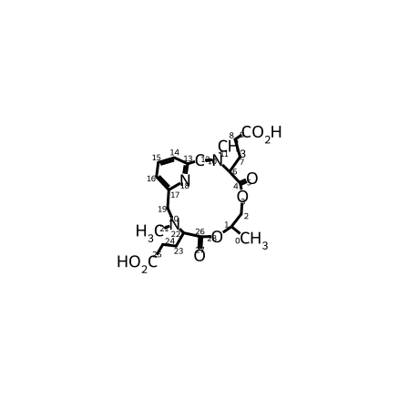 CC1COC(=O)C(CCC(=O)O)N(C)Cc2cccc(n2)CN(C)C(CCC(=O)O)C(=O)O1